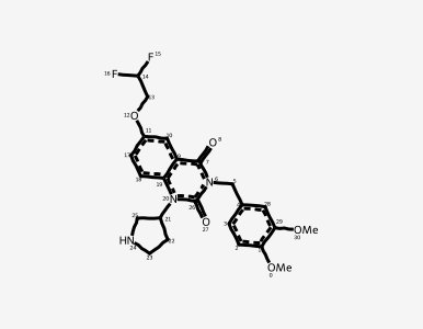 COc1ccc(Cn2c(=O)c3cc(OCC(F)F)ccc3n(C3CCNC3)c2=O)cc1OC